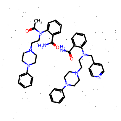 CC(=O)N(CCN1CCN(c2ccccc2)CC1)c1ccccc1C(N)=O.NC(=O)c1ccccc1N(CCN1CCN(c2ccccc2)CC1)Cc1ccncc1